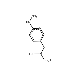 CN(Cc1ccc(NN)nc1)C(=O)O